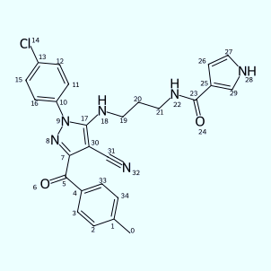 Cc1ccc(C(=O)c2nn(-c3ccc(Cl)cc3)c(NCCCNC(=O)c3cc[nH]c3)c2C#N)cc1